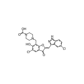 O=C1/C(=C/c2n[nH]c3ccc(Cl)cc23)Oc2c1cc(Cl)c(O)c2CN1CCN(C(=O)O)CC1